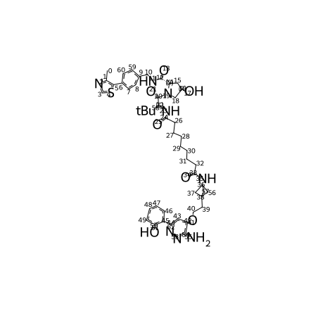 Cc1ncsc1-c1ccc(CNC(=O)[C@@H]2C[C@@H](O)CN2C(=O)[C@@H](NC(=O)CCCCCCCC(=O)NC23CC(CCOc4cc(-c5ccccc5O)nnc4N)(C2)C3)C(C)(C)C)cc1